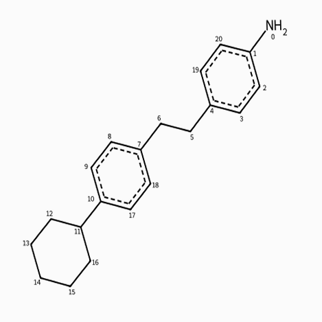 Nc1ccc(CCc2ccc(C3CCCCC3)cc2)cc1